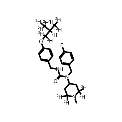 [2H]C1([2H])CC(N(Cc2ccc(F)cc2)C(=O)NCc2ccc(OC([2H])([2H])C([2H])(C([2H])([2H])[2H])C([2H])([2H])[2H])cc2)CC([2H])([2H])N1C